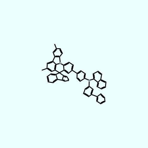 Cc1ccc2c(c1)c1cc(C)cc3c1n2-c1ccc(-c2ccc(N(c4cccc(-c5ccccc5)c4)c4cccc5ccccc45)cc2)cc1C31c2ccccc2-c2ccccc21